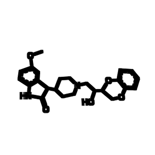 COc1ccc2c(c1)C(C1CCN(CC(O)C3COc4ccccc4O3)CC1)C(=O)N2